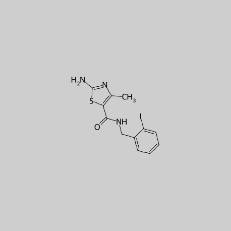 Cc1nc(N)sc1C(=O)NCc1ccccc1I